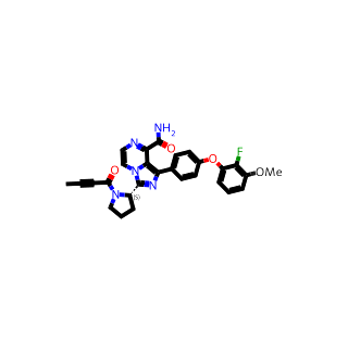 CC#CC(=O)N1CCC[C@H]1c1nc(-c2ccc(Oc3cccc(OC)c3F)cc2)c2c(C(N)=O)nccn12